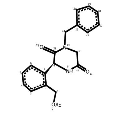 CC(=O)OCc1ccccc1[C@@H]1NC(=O)CN(Cc2ccccc2)C1=O